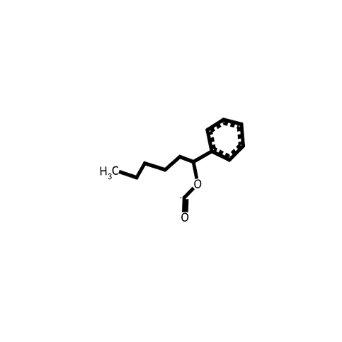 CCCCCC(O[C]=O)c1ccccc1